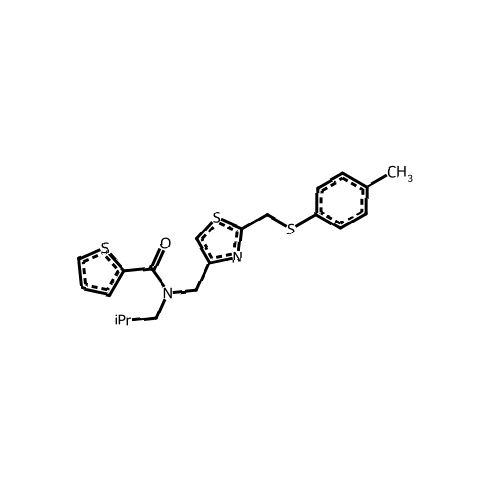 Cc1ccc(SCc2nc(CN(CC(C)C)C(=O)c3cccs3)cs2)cc1